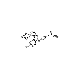 COC(=O)[C@H]1C[C@@H](Oc2ncc(C(C)(C)N=[N+]=[N-])c3cc(Cl)ncc23)C1